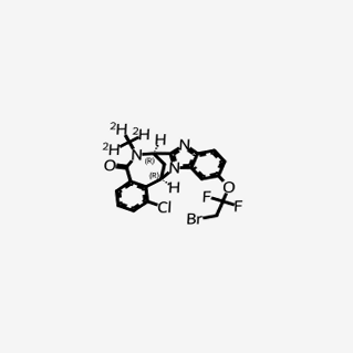 [2H]C([2H])([2H])N1C(=O)c2cccc(Cl)c2[C@H]2C[C@@H]1c1nc3ccc(OC(F)(F)CBr)cc3n12